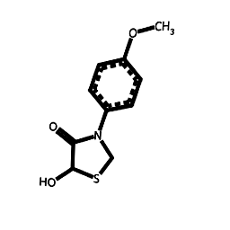 COc1ccc(N2CSC(O)C2=O)cc1